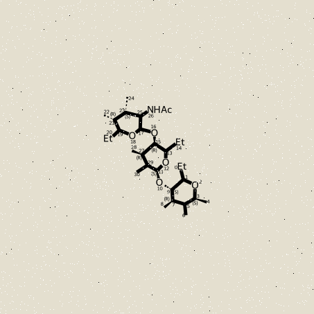 CCC1O[C@@H](C)C(C)[C@@H](C)[C@@H]1O[C@@H]1OC(CC)[C@H](OC2OC(CC)[C@H](C)[C@H](C)C2NC(C)=O)[C@H](C)C1C